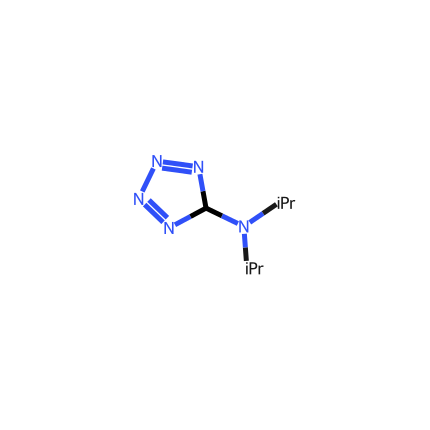 CC(C)N(C(C)C)C1N=NN=N1